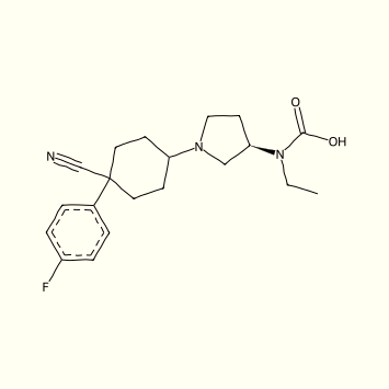 CCN(C(=O)O)[C@@H]1CCN(C2CCC(C#N)(c3ccc(F)cc3)CC2)C1